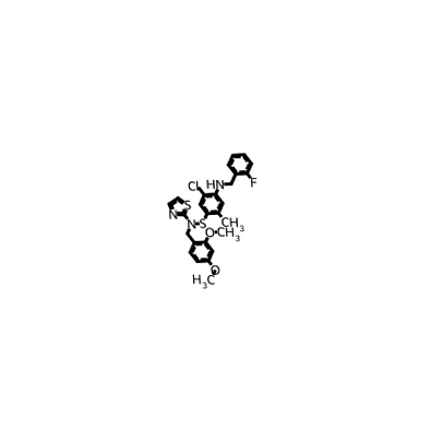 COc1ccc(CN(Sc2cc(Cl)c(NCc3ccccc3F)cc2C)c2nccs2)c(OC)c1